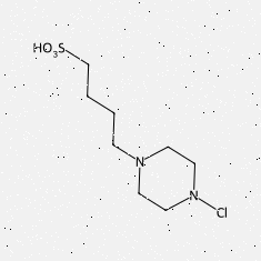 O=S(=O)(O)CCCCN1CCN(Cl)CC1